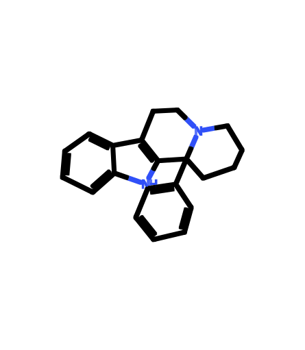 c1ccc(C23CCCCN2CCc2c3[nH]c3ccccc23)cc1